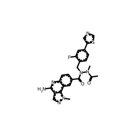 CC(=O)N(C)N(Cc1ccc(-c2cncs2)cc1F)C(=O)c1ccc2nc(N)c3cnn(C)c3c2c1